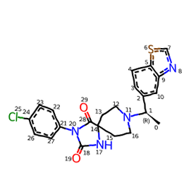 C[C@H](c1ccc2scnc2c1)N1CCC2(CC1)NC(=O)N(c1ccc(Cl)cc1)C2=O